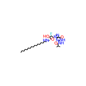 CCCCCCCCCCCCCCCCCNC[C@H]1O[C@@H](n2cnc3c(=O)[nH]c(NC(=O)C(C)C)nc32)[C@H](F)[C@@H]1O